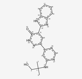 CC(C)(CO)Nc1cc(-c2cc(-c3nc4ccccc4[nH]3)c(=O)[nH]n2)ncn1